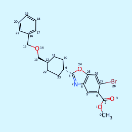 COC(=O)c1cc2nc([C@H]3CC[C@H](COCc4ccccc4)CC3)oc2cc1Br